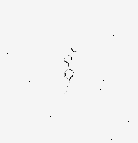 CCCSc1ccc(-c2csc(C(=O)O)c2)cc1